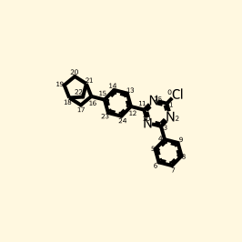 Clc1nc(-c2ccccc2)nc(-c2ccc(C3CC4CCC3C4)cc2)n1